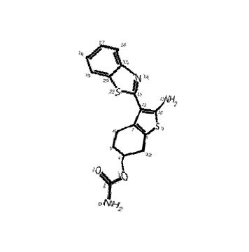 NC(=O)OC1CCc2c(sc(N)c2-c2nc3ccccc3s2)C1